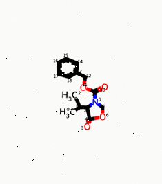 CC(C)C1C(=O)OCN1C(=O)OCc1ccccc1